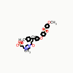 COc1ccc(S(=O)(=O)c2ccc(Oc3ccc(C(C)(CCC(=O)N4CC[N+](C)(CCCS(=O)(=O)O)CC4)c4ccc(C)cc4)cc3)cc2)cc1